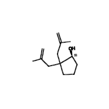 C=C(C)CC1(CC(=C)C)CCC[C@@H]1O